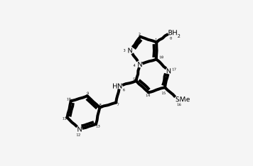 Bc1cnn2c(NCc3cccnc3)cc(SC)nc12